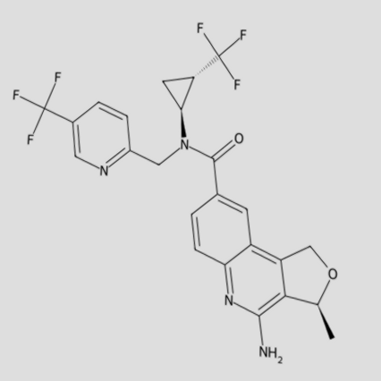 C[C@@H]1OCc2c1c(N)nc1ccc(C(=O)N(Cc3ccc(C(F)(F)F)cn3)[C@H]3C[C@@H]3C(F)(F)F)cc21